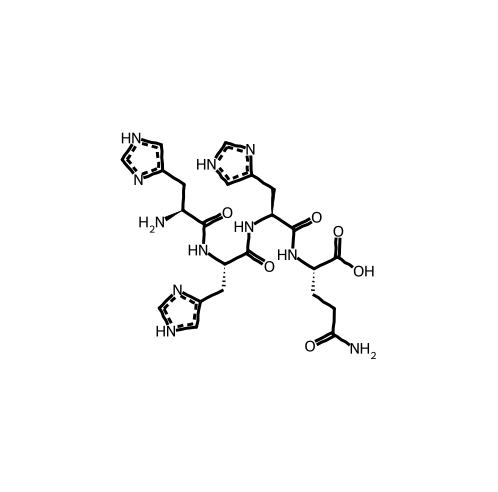 NC(=O)CC[C@H](NC(=O)[C@H](Cc1c[nH]cn1)NC(=O)[C@H](Cc1c[nH]cn1)NC(=O)[C@@H](N)Cc1c[nH]cn1)C(=O)O